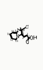 O=C(O)/C=C/C1C(Cl)=NC2=CC=CCN21